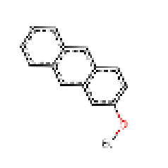 CCOc1ccc2cc3c[c]ccc3cc2c1